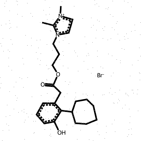 Cc1n(CCCOC(=O)Cc2cccc(O)c2C2CCCCCC2)cc[n+]1C.[Br-]